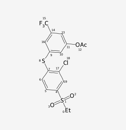 CCS(=O)(=O)c1ccc(Sc2cc(OC(C)=O)cc(C(F)(F)F)c2)c(Cl)c1